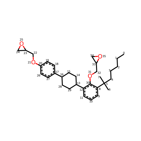 CCCCCC(C)(C)c1cccc(C2CCC(c3ccc(OCC4CO4)cc3)CC2)c1OCC1CO1